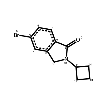 O=C1c2ccc(Br)cc2CN1C1CCC1